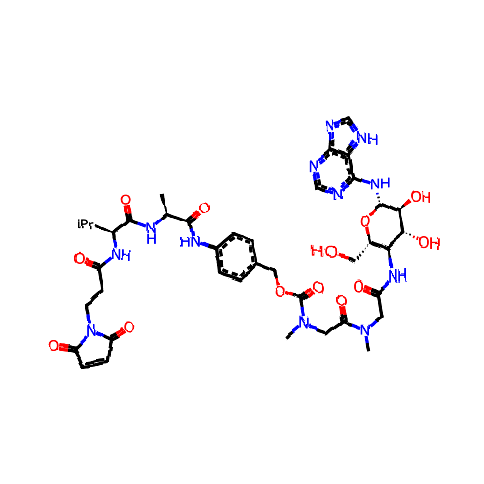 CC(C)[C@H](NC(=O)CCN1C(=O)C=CC1=O)C(=O)N[C@@H](C)C(=O)Nc1ccc(COC(=O)N(C)CC(=O)N(C)CC(=O)N[C@@H]2[C@@H](O)[C@H](O)[C@@H](Nc3ncnc4nc[nH]c34)O[C@H]2CO)cc1